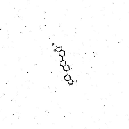 CC(C)c1nc2ccc(-c3ccc4cc(-c5ccc6nc[nH]c6c5)ccc4c3)cc2[nH]1